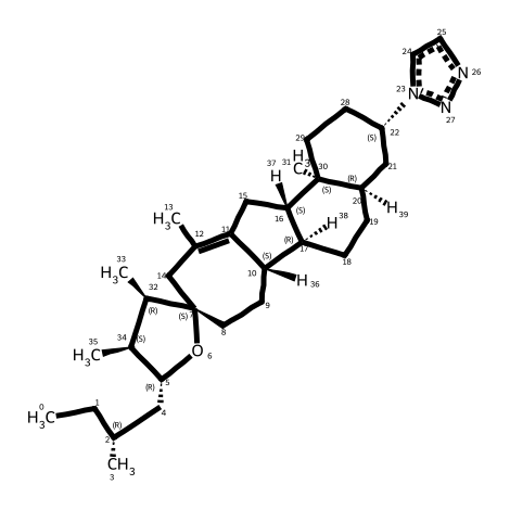 CC[C@@H](C)C[C@H]1O[C@]2(CC[C@@H]3C(=C(C)C2)C[C@H]2[C@H]3CC[C@@H]3C[C@@H](n4ccnn4)CC[C@@]32C)[C@H](C)[C@@H]1C